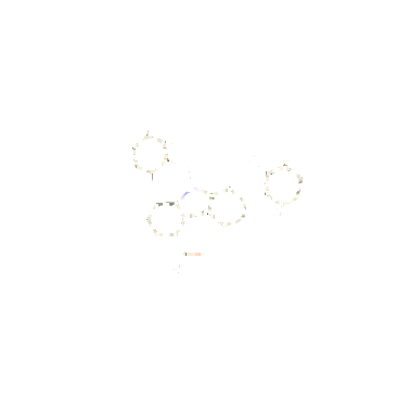 NC(=O)c1cccc2c1c1[c]cc(-c3c(Cl)cccc3Cl)cc1n2Cc1c(F)cc(F)cc1F